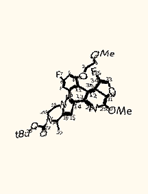 COCCOc1cc(F)cc(F)c1-c1c(-c2cc3n(n2)CCN(C(=O)OC(C)(C)C)[C@@H]3C)nc(OC)c2occ(F)c12